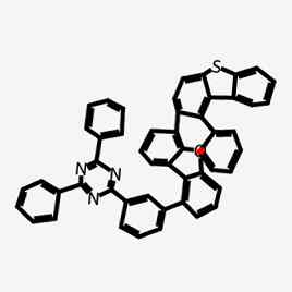 c1ccc(-c2nc(-c3ccccc3)nc(-c3cccc(-c4cccc5oc6c(-c7ccc8sc9ccccc9c8c7-c7ccccc7)cccc6c45)c3)n2)cc1